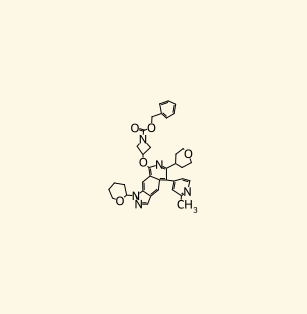 Cc1cc(-c2c(C3CCOCC3)nc(OC3CN(C(=O)OCc4ccccc4)C3)c3cc4c(cnn4C4CCCCO4)cc23)ccn1